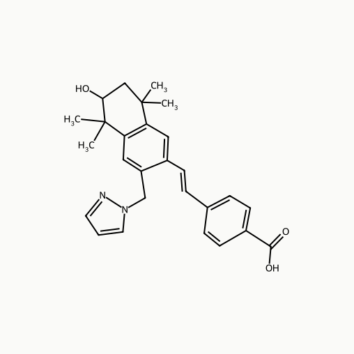 CC1(C)CC(O)C(C)(C)c2cc(Cn3cccn3)c(C=Cc3ccc(C(=O)O)cc3)cc21